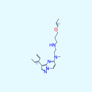 C=C/C(=C\C)c1cnn2ccc(N(C)CCNCCCO/C=C/C)nc12